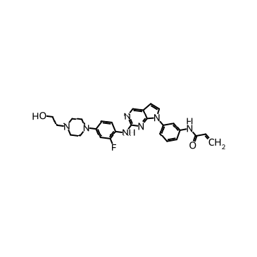 C=CC(=O)Nc1cccc(-n2ccc3cnc(Nc4ccc(N5CCN(CCO)CC5)cc4F)nc32)c1